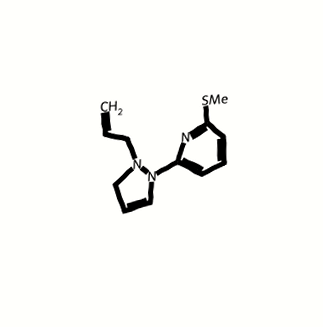 C=CCN1CC=CN1c1cccc(SC)n1